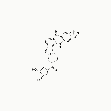 CCOc1cc2[nH]ncc2cc1Nc1ncnc2sc3c(c12)CC[C@H](C(=O)N1C[C@@H](O)[C@H](O)C1)C3